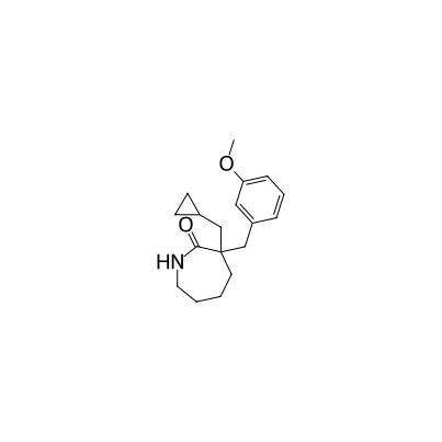 COc1cccc(CC2(CC3CC3)CCCCNC2=O)c1